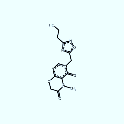 CN1C(=O)COc2ncn(Cc3nc(CCO)no3)c(=O)c21